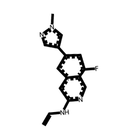 C=CNc1cc2cc(-c3cnn(C)c3)cc(F)c2cn1